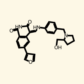 O=C1NC(=O)c2ccc(-c3ccoc3)cc2/C1=C/Nc1ccc(CN2CCCC2CO)cc1